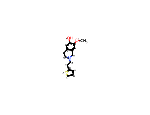 COc1cc2c(cc1O)CCN(CCc1cccs1)C2